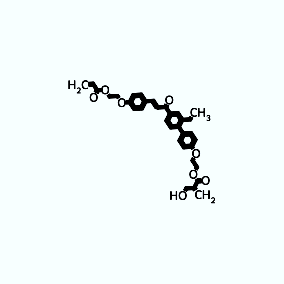 C=CC(=O)OCCOc1ccc(/C=C/C(=O)c2ccc(-c3ccc(OCCOC(=O)C(=C)CO)cc3)c(CC)c2)cc1